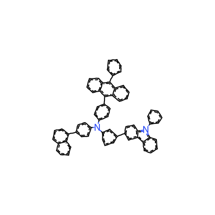 c1ccc(-c2c3ccccc3c(-c3ccc(N(c4ccc(-c5cccc6ccccc56)cc4)c4cccc(-c5ccc6c(c5)c5ccccc5n6-c5ccccc5)c4)cc3)c3ccccc23)cc1